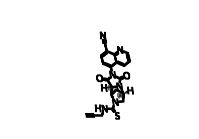 C#CCNC(=S)N1C[C@H]2CC1[C@H]1C(=O)N(c3ccc(C#N)c4ncccc34)C(=O)N21